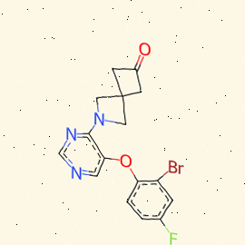 O=C1CC2(C1)CN(c1ncncc1Oc1ccc(F)cc1Br)C2